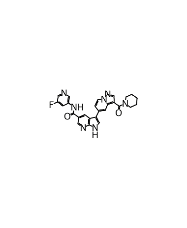 O=C(Nc1cncc(F)c1)c1cnc2[nH]cc(-c3ccn4ncc(C(=O)N5CCCCC5)c4c3)c2c1